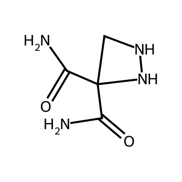 NC(=O)C1(C(N)=O)CNN1